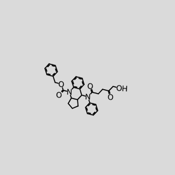 O=C(CO)CCC(=O)N(c1ccccc1)C1c2ccccc2N(C(=O)OCc2ccccc2)C2CCCC21